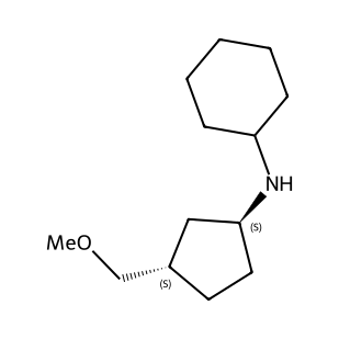 COC[C@H]1CC[C@H](NC2CCCCC2)C1